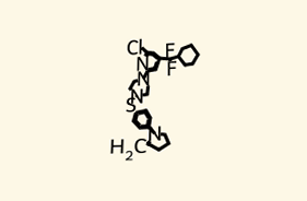 C=C1CCCN1c1ccc(SN2CCN(c3cc(C(F)(F)C4CCCCC4)cc(Cl)n3)CC2)cc1